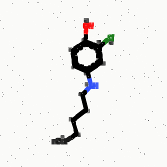 CCCCCCCCCCCCNc1ccc(O)c(Cl)c1